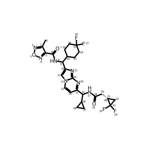 Cc1nonc1C(=O)NC(c1cn2ccc(C(NC(=O)C[C@@H]3CC3(F)F)C3CC3)nc2n1)C1CCC(F)(F)CC1